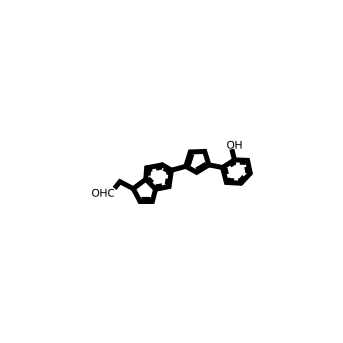 O=CCC1C=Cc2cc(C3=CCC(c4ccccc4O)=C3)ccc21